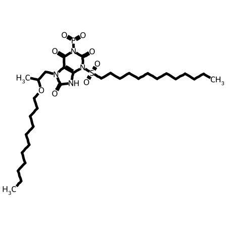 CCCCCCCCCCCCCS(=O)(=O)n1c(=O)n(P(=O)=O)c(=O)c2c1[nH]c(=O)n2CC(C)OCCCCCCCCCCC